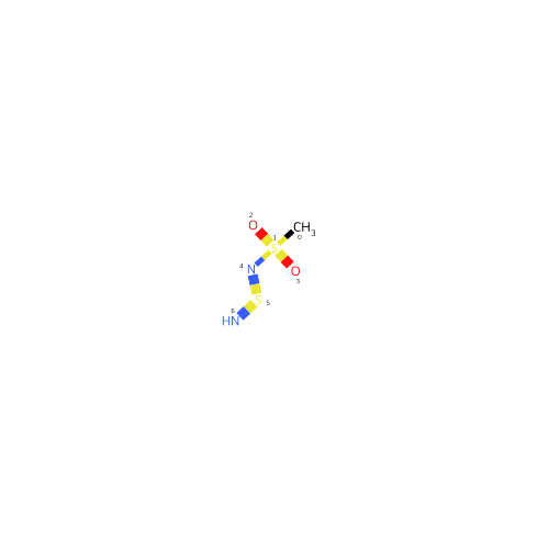 CS(=O)(=O)N=S=N